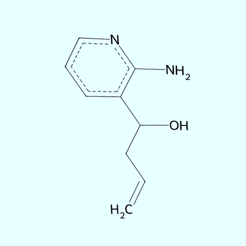 C=CCC(O)c1cccnc1N